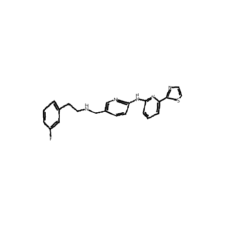 Fc1cccc(CCNCc2ccc(Nc3cccc(-c4nccs4)n3)nc2)c1